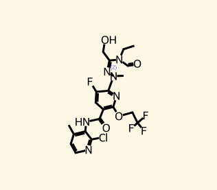 CCN(C=O)/C(CO)=N\N(C)c1nc(OCC(F)(F)F)c(C(=O)Nc2c(C)ccnc2Cl)cc1F